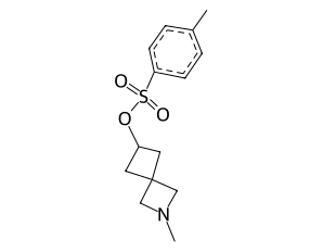 Cc1ccc(S(=O)(=O)OC2CC3(C2)CN(C)C3)cc1